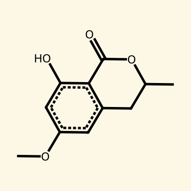 COc1cc(O)c2c(c1)CC(C)OC2=O